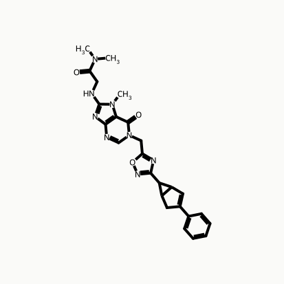 CN(C)C(=O)CNc1nc2ncn(Cc3nc(C4C5C=C(c6ccccc6)CC54)no3)c(=O)c2n1C